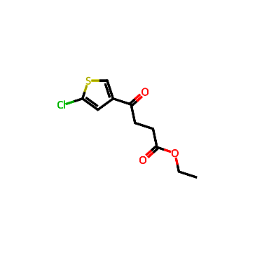 CCOC(=O)CCC(=O)c1csc(Cl)c1